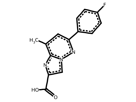 Cc1cc(-c2ccc(F)cc2)nn2cc(C(=O)O)nc12